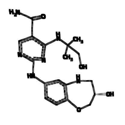 CC(C)(CO)Nc1nc(Nc2ccc3c(c2)NC[C@H](O)CO3)ncc1C(N)=O